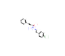 O=C(C#Cc1ccccc1)NCCc1ccc(Cl)cc1